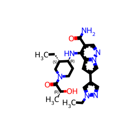 CC[C@H]1CN(C(=O)[C@@H](C)O)CC[C@H]1Nc1c(C(N)=O)cnn2cc(-c3cnn(CC)c3)cc12